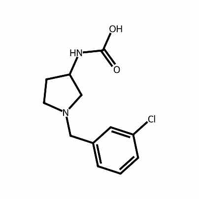 O=C(O)NC1CCN(Cc2cccc(Cl)c2)C1